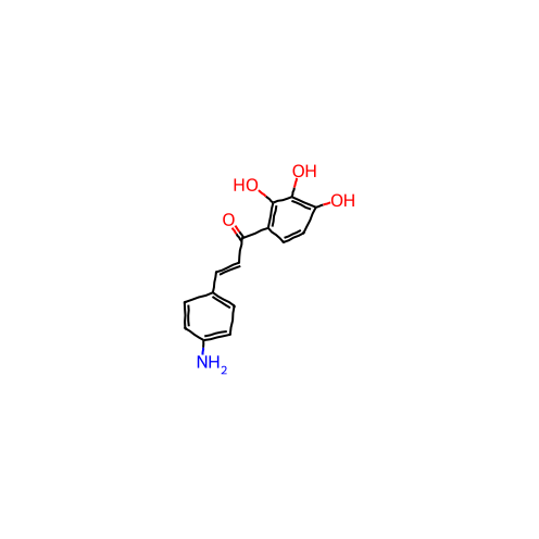 Nc1ccc(C=CC(=O)c2ccc(O)c(O)c2O)cc1